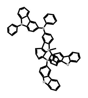 C[Si]1(c2ccccc2)c2ccc(N(c3ccccc3)c3ccc4c(c3)c3ccccc3n4-c3ccccc3)cc2-c2cccc(N(c3ccc4c(c3)oc3ccccc34)c3ccc4oc5ccccc5c4c3)c21